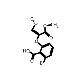 CO/C=C(/Oc1cccc(Br)c1C(=O)O)C(=O)OC